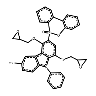 CC(C)(C)c1ccc2c(c1)c1c(OCC3CO3)c(P3(=O)Oc4ccccc4-c4ccccc43)cc(OCC3CO3)c1n2-c1ccccc1